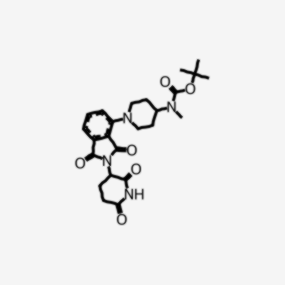 CN(C(=O)OC(C)(C)C)C1CCN(c2cccc3c2C(=O)N(C2CCC(=O)NC2=O)C3=O)CC1